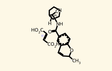 CC1C=Cc2cc(C(=O)N[C@H]3CN4CCC3CC4)ccc2O1.O=C(O)/C=C/C(=O)O